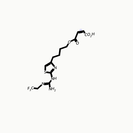 NC(=NCC(F)(F)F)Nc1nc(CCCCOC(=O)/C=C\C(=O)O)cs1